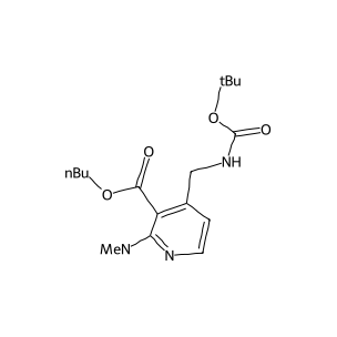 CCCCOC(=O)c1c(CNC(=O)OC(C)(C)C)ccnc1NC